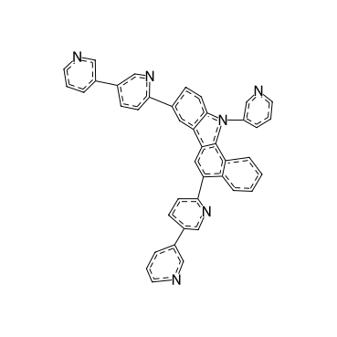 c1cncc(-c2ccc(-c3ccc4c(c3)c3cc(-c5ccc(-c6cccnc6)cn5)c5ccccc5c3n4-c3cccnc3)nc2)c1